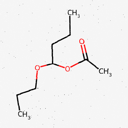 CC[CH]OC(CCC)OC(C)=O